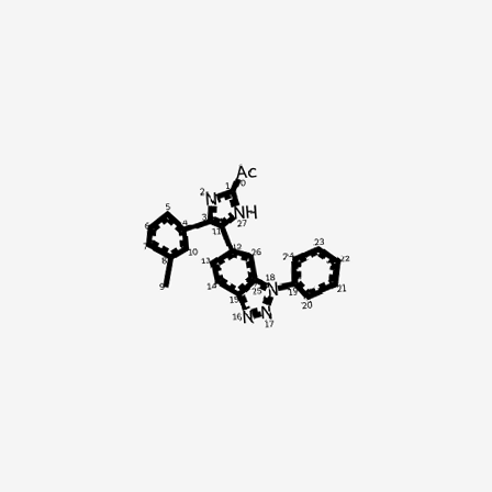 CC(=O)c1nc(-c2cccc(C)c2)c(-c2ccc3nnn(-c4ccccc4)c3c2)[nH]1